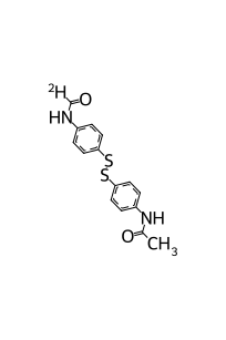 [2H]C(=O)Nc1ccc(SSc2ccc(NC(C)=O)cc2)cc1